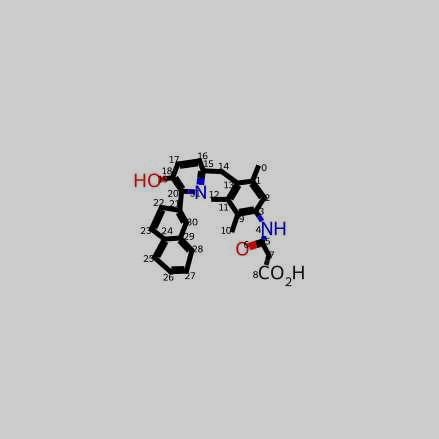 Cc1cc(NC(=O)CC(=O)O)c(C)c(C)c1Cc1ccc(O)c(-c2ccc3ccccc3c2)n1